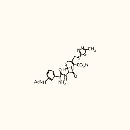 CC(=O)Nc1cccc(C(N)C(=O)NC2C(=O)N3C(C(=O)O)=C(CSc4nnc(C)s4)CS[C@@H]23)c1